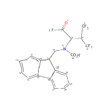 O=C(F)[C@H](C(C(F)(F)F)C(F)(F)F)N(CC1c2ccccc2-c2ccccc21)C(=O)O